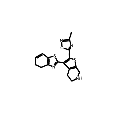 Cc1noc(-c2sc3c(c2-c2nc4c(s2)C=CCC4)CCNC3)n1